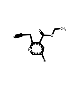 CCOC(=O)c1cc(Br)cnc1CC#N